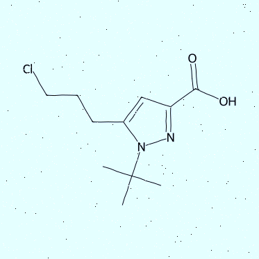 CC(C)(C)n1nc(C(=O)O)cc1CCCCl